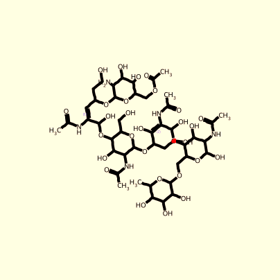 CC(=O)N/C(=C(\O)C(CCO)OC1OC(CO)C(OC(O)/C(=C\C(CCO)OC2OC(COC(C)=O)C(O)C(O)C2N)NC(C)=O)C(O)C1NC(C)=O)C(O)OC1C(COC2OC(C)C(O)C(O)C2O)OC(O)C(NC(C)=O)C1O